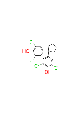 Oc1c(Cl)cc(C2(c3cc(Cl)c(O)c(Cl)c3)CCCC2)cc1Cl